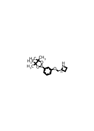 CC1(C)OB(c2cccc(OC[C@@H]3CCN3)c2)OC1(C)C